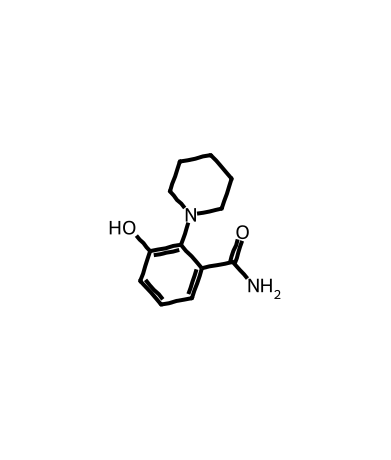 NC(=O)c1cccc(O)c1N1CCCCC1